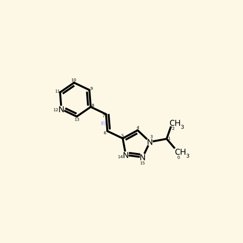 CC(C)n1cc(/C=C/c2cccnc2)nn1